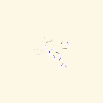 CC1CO[C@@H]2CCC[C@H]2N1c1nc2nc(-c3ncon3)nc(-c3cncc(Cl)c3)c2n1C[C@H]1CC[C@H](C)CC1